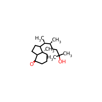 C[C@H](C1CCC2C(=O)CCC[C@@]21C)[C@@H](C)CCC(C)(C)O